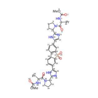 COC(=O)NC(C(=O)N1CCCC1c1ncc(-c2ccc3c(c2)S(=O)(=O)c2cc(-c4cnc(C5CCCN5C(=O)C(NC(=O)OC)C(C)C)[nH]4)ccc2-3)[nH]1)C(C)C